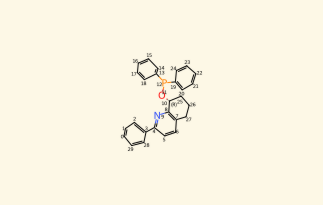 c1ccc(-c2ccc3c(n2)[C@H](OP(c2ccccc2)c2ccccc2)CCC3)cc1